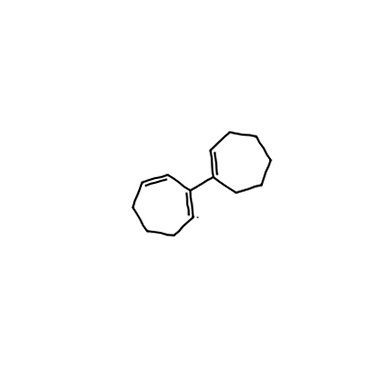 [C]1=C(C2=CCCCCC2)C=CCCC1